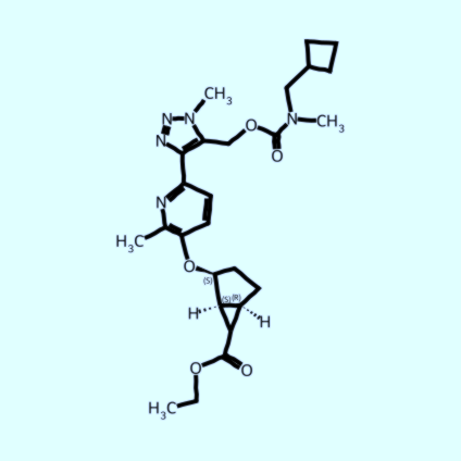 CCOC(=O)C1[C@H]2[C@@H](Oc3ccc(-c4nnn(C)c4COC(=O)N(C)CC4CCC4)nc3C)CC[C@@H]12